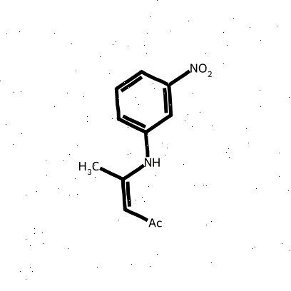 CC(=O)/C=C(/C)Nc1cccc([N+](=O)[O-])c1